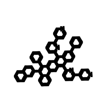 c1ccc(-c2ccc3c(-c4cccc(-c5ccncc5)n4)c4cc5c(cc4c(-c4cccc(-c6ccncc6)n4)c3c2)c(-c2ccccc2)c(-c2ccc3ccccc3c2)c2ccccc25)cc1